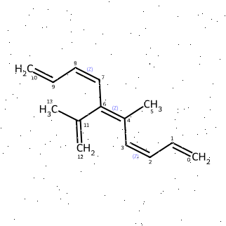 C=C\C=C/C(C)=C(/C=C\C=C)C(=C)C